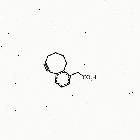 O=C(O)Cc1cccc2c1CCCCC#C2